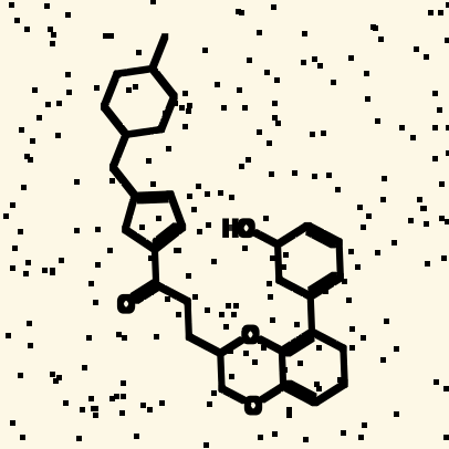 CC1CCC(CC2=CC=C(C(=O)CCC3COC4=CCCC(C5=CC=CC(O)C5)=C4O3)C2)CC1